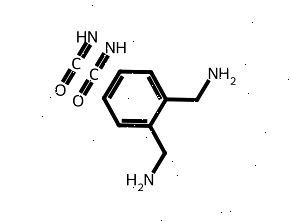 N=C=O.N=C=O.NCc1ccccc1CN